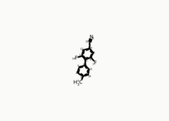 Cc1ccc(-c2c(F)cc(C#N)cc2F)cc1